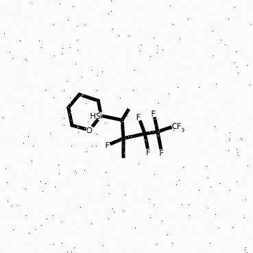 CC([SiH]1CCCCO1)C(C)(F)C(F)(F)C(F)(F)C(F)(F)F